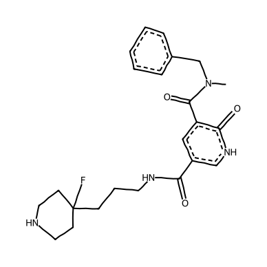 CN(Cc1ccccc1)C(=O)c1cc(C(=O)NCCCC2(F)CCNCC2)c[nH]c1=O